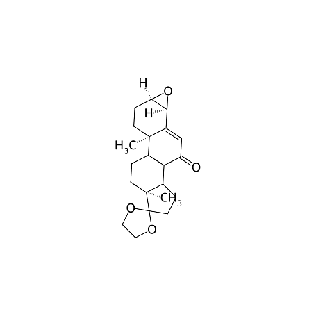 C[C@]12CC[C@H]3O[C@H]3C1=CC(=O)C1C2CC[C@@]2(C)C1CCC21OCCO1